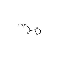 CCOC(=O)CC(=O)C1CCCO1